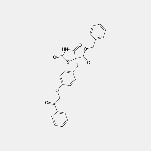 O=C1NC(=O)[C@@](Cc2ccc(OCC(=O)c3ccccn3)cc2)(C(=O)OCc2ccccc2)S1